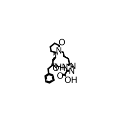 O=C(O)c1nnc(CCCN2C(=O)CCC[C@@H]2C=C[C@@H](O)Cc2ccccc2)[nH]1